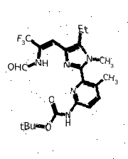 CCc1c(/C=C(\NC=O)C(F)(F)F)nc(-c2nc(NC(=O)OC(C)(C)C)ccc2C)n1C